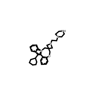 c1ccc2c(c1)OCC1(CN(CCN3CCNCC3)C1)Cn1c-2c(C2CCCCC2)c2ccccc21